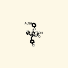 CC(=O)Nc1cccc(OC[C@H]2CO[C@](CCc3ccc(Cl)cc3)(Cn3ccnc3)O2)c1.O=C(O)C(=O)O